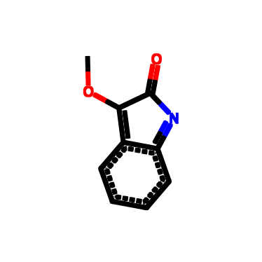 COC1=c2ccccc2=NC1=O